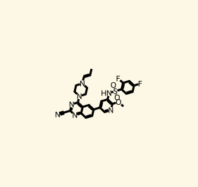 CC=CN1CCN(c2nc(C#N)nc3ccc(-c4cnc(OC)c(NS(=O)(=O)c5ccc(F)cc5F)c4)cc23)CC1